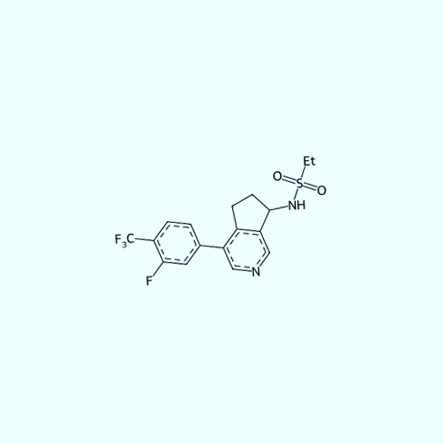 CCS(=O)(=O)NC1CCc2c(-c3ccc(C(F)(F)F)c(F)c3)cncc21